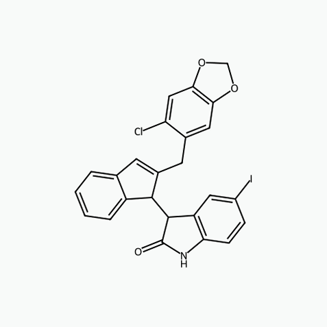 O=C1Nc2ccc(I)cc2C1C1C(Cc2cc3c(cc2Cl)OCO3)=Cc2ccccc21